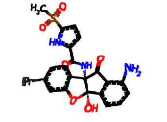 CC(C)c1ccc2c(c1)O[C@]1(O)c3cccc(N)c3C(=O)[C@]21NC(=O)c1ccc(S(C)(=O)=O)[nH]1